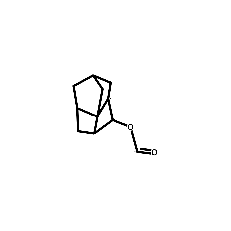 O=[C]OC1[C]2CC3CC(C2)CC1C3